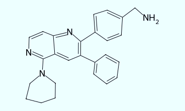 NCc1ccc(-c2nc3ccnc(N4CCCCC4)c3cc2-c2ccccc2)cc1